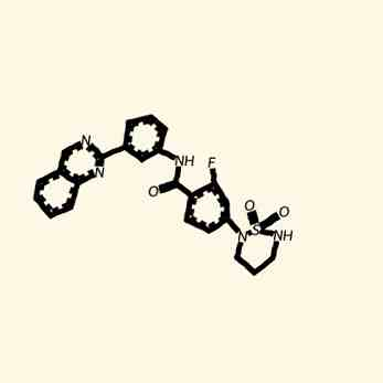 O=C(Nc1cccc(-c2ncc3ccccc3n2)c1)c1ccc(N2CCCNS2(=O)=O)cc1F